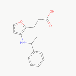 CC(Nc1ccoc1CCC(=O)O)c1ccccc1